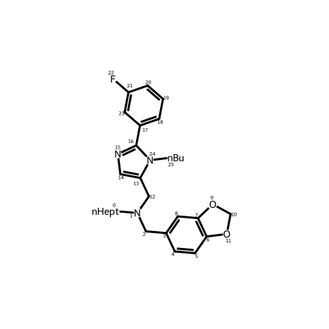 CCCCCCCN(Cc1ccc2c(c1)OCO2)Cc1cnc(-c2cccc(F)c2)n1CCCC